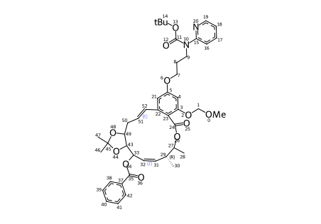 COCOc1cc(OCCCN(C(=O)OC(C)(C)C)c2ccccn2)cc2c1C(=O)OC(C)[C@H](C)/C=C\C(OC(=O)c1ccccc1)C1OC(C)(C)OC1C/C=C/2